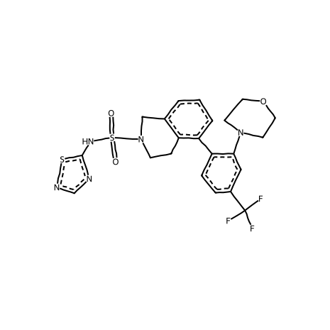 O=S(=O)(Nc1ncns1)N1CCc2c(cccc2-c2ccc(C(F)(F)F)cc2N2CCOCC2)C1